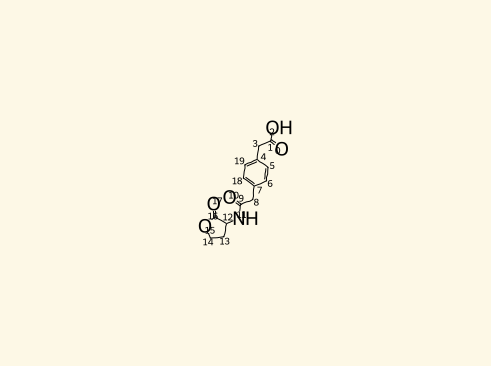 O=C(O)Cc1ccc(CC(=O)NC2CCOC2=O)cc1